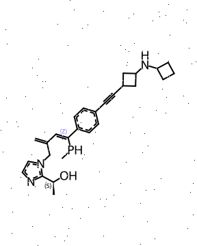 C=C(/C=C(\PC)c1ccc(C#CC2CC(NC3CCC3)C2)cc1)Cn1ccnc1[C@H](C)O